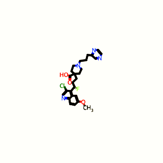 COc1ccc2ncc(Cl)c([C@@H](F)CCC3(C(=O)O)CCN(CCCc4cnccn4)CC3)c2c1